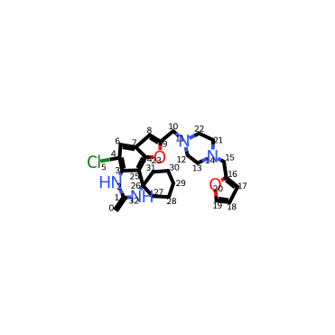 C=C1Nc2c(Cl)cc3cc(CN4CCN(Cc5ccco5)CC4)oc3c2C2(CCCCC2)N1